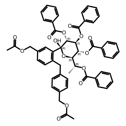 CC(=O)OCc1ccc(Cc2ccc(COC(C)=O)cc2[C@@]2(O)O[C@H]([C@@H](C)OC(=O)c3ccccc3)[C@@H](OC(=O)c3ccccc3)[C@H](OC(=O)c3ccccc3)[C@H]2OC(=O)c2ccccc2)cc1